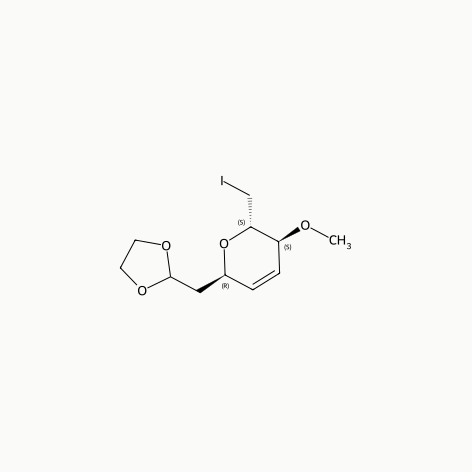 CO[C@H]1C=C[C@@H](CC2OCCO2)O[C@@H]1CI